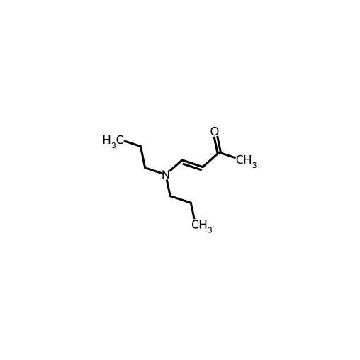 CCCN(C=CC(C)=O)CCC